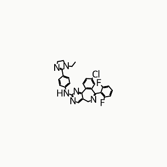 CCN1CCN=C1c1ccc(Nc2ncc3c(n2)-c2ccc(Cl)cc2C(c2c(F)cccc2F)=NC3)cc1